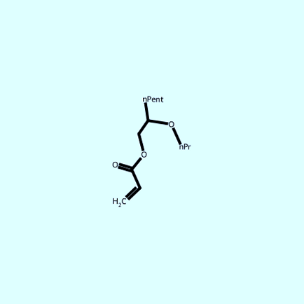 C=CC(=O)OCC(CCCCC)OCCC